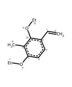 C=Cc1ccc(OCC)c(C)c1OCC